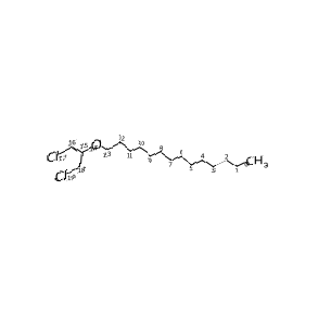 CCCCCCCCCCCCCCOC(CCl)CCl